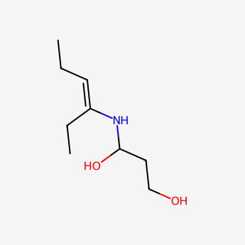 CC/C=C(\CC)NC(O)CCO